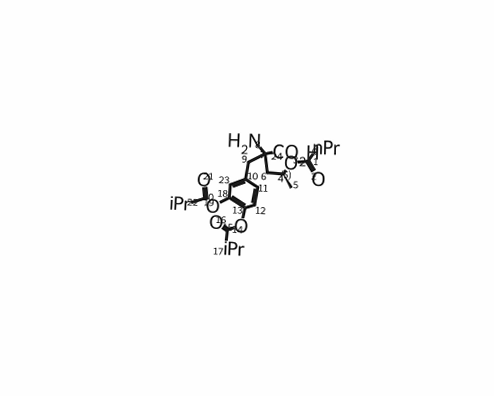 CCCC(=O)O[C@@H](C)CC(N)(Cc1ccc(OC(=O)C(C)C)c(OC(=O)C(C)C)c1)C(=O)O